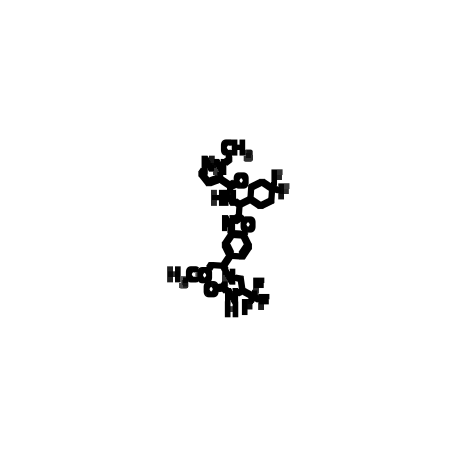 CCn1nccc1C(=O)NC(c1nc2cc(C(COC)N3CC(C(F)(F)F)NC3=O)ccc2o1)C1CCC(F)(F)CC1